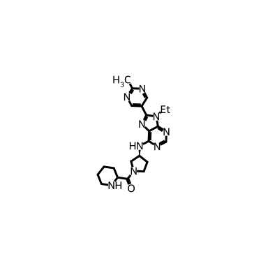 CCn1c(-c2cnc(C)nc2)nc2c(N[C@H]3CCN(C(=O)C4CCCCN4)C3)ncnc21